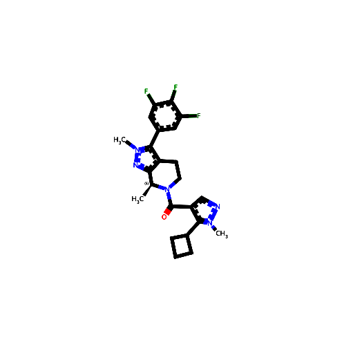 C[C@H]1c2nn(C)c(-c3cc(F)c(F)c(F)c3)c2CCN1C(=O)c1cnn(C)c1C1CCC1